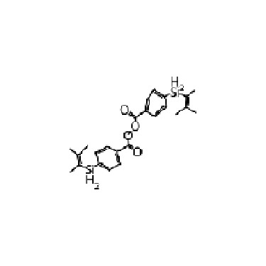 CC(C)=C(C)[SiH2]c1ccc(C(=O)OOC(=O)c2ccc([SiH2]C(C)=C(C)C)cc2)cc1